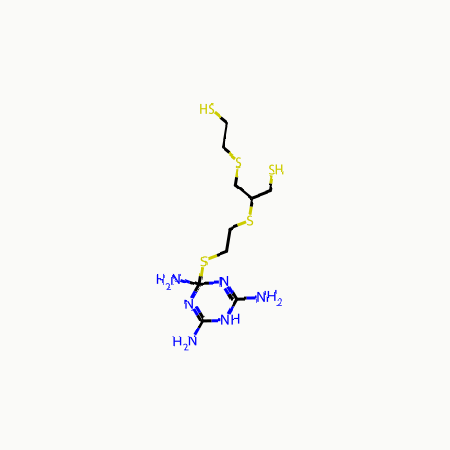 NC1=NC(N)(SCCSC(CS)CSCCS)N=C(N)N1